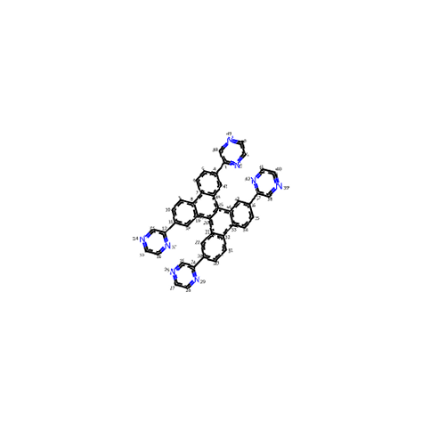 c1cnc(-c2ccc3c4ccc(-c5cnccn5)cc4c4c5cc(-c6cnccn6)ccc5c5ccc(-c6cnccn6)cc5c4c3c2)cn1